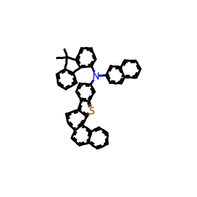 CC1(C)c2ccccc2-c2c(N(c3ccc4ccccc4c3)c3ccc4c(c3)sc3c4ccc4ccc5ccccc5c43)cccc21